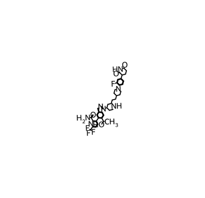 CC(O)c1cc2c(cnn2C2CCNC(CCC3CCN(c4ccc(C5CCC(=O)NC5=O)cc4F)CC3)C2)cc1-c1ccc(C(F)(F)F)nc1C(N)=O